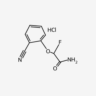 Cl.N#Cc1ccccc1OC(F)C(N)=O